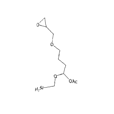 CC(=O)OC(CCCOCC1CO1)OC[SiH3]